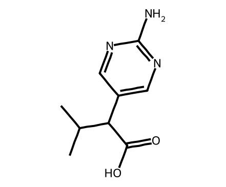 CC(C)C(C(=O)O)c1cnc(N)nc1